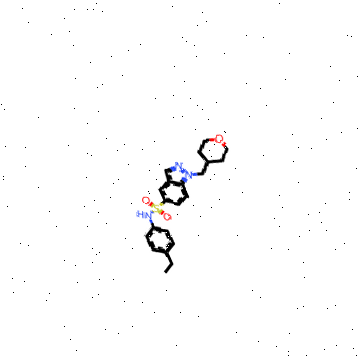 CCc1ccc(NS(=O)(=O)c2ccc3c(cnn3CC3CCOCC3)c2)cc1